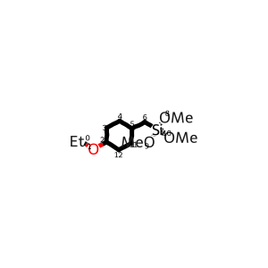 CCOC1CCC(C[Si](OC)(OC)OC)CC1